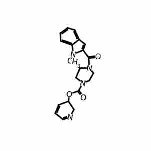 Cn1c(C(=O)N2CCN(C(=O)OC3C=CC=NC3)CC2)cc2ccccc21